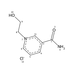 NC(=O)c1ccc[n+](CCO)c1.[Cl-]